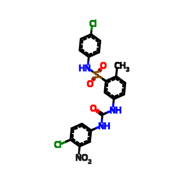 Cc1ccc(NC(=O)Nc2ccc(Cl)c([N+](=O)[O-])c2)cc1S(=O)(=O)Nc1ccc(Cl)cc1